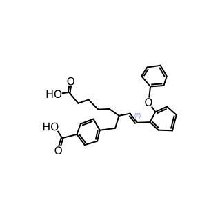 O=C(O)CCCCC(/C=C/c1ccccc1Oc1ccccc1)Cc1ccc(C(=O)O)cc1